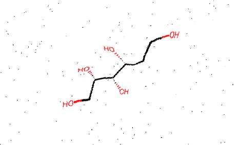 OCC[C@@H](O)[C@H](O)[C@@H](O)CO